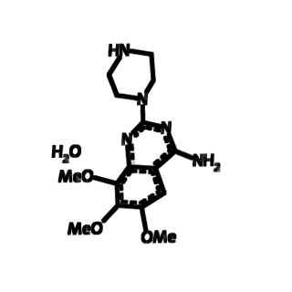 COc1cc2c(N)nc(N3CCNCC3)nc2c(OC)c1OC.O